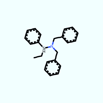 CC[SiH](c1ccccc1)N(Cc1ccccc1)Cc1ccccc1